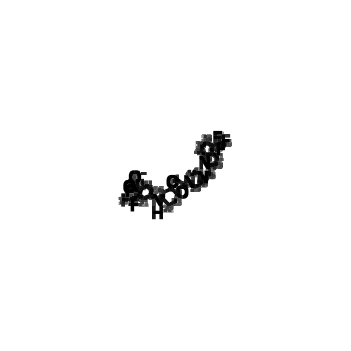 O=CC(OC1CCC(Nc2ccc([N+](=O)[O-])c(C(F)(F)F)c2)CC1)N1CCN(Cc2ccc3c(C(F)(F)F)cccc3n2)CC1